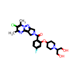 Cc1nc2c3c(nn2c(C)c1Cl)CN(C(=O)c1ccc(F)cc1OC1CCN(C(CO)CO)CC1)C3